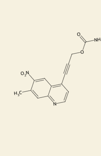 Cc1cc2nccc(C#CCOC(N)=O)c2cc1[N+](=O)[O-]